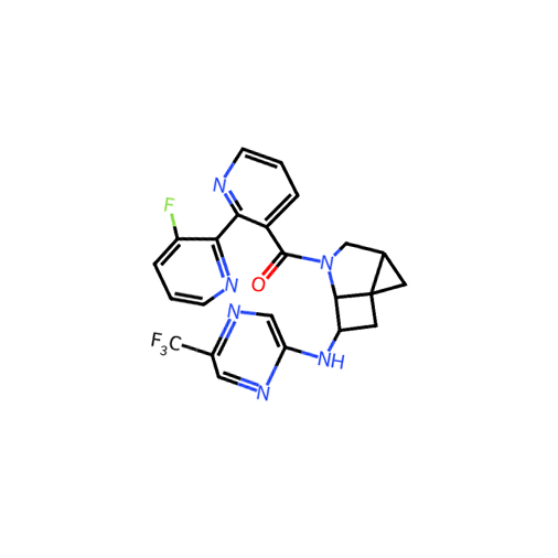 O=C(c1cccnc1-c1ncccc1F)N1CC2CC23CC(Nc2cnc(C(F)(F)F)cn2)C13